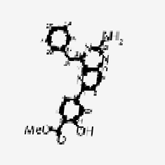 COC(=O)c1ccc(-c2ccc3nc(N)nc(Cc4ccccc4)c3n2)cc1O